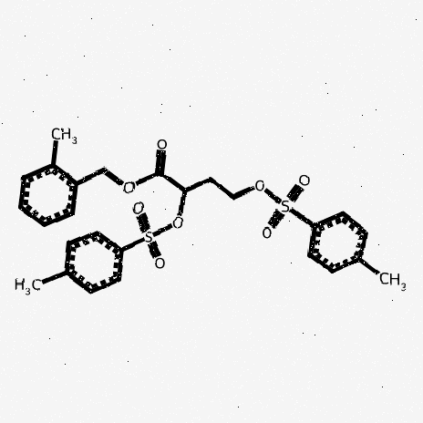 Cc1ccc(S(=O)(=O)OCCC(OS(=O)(=O)c2ccc(C)cc2)C(=O)OCc2ccccc2C)cc1